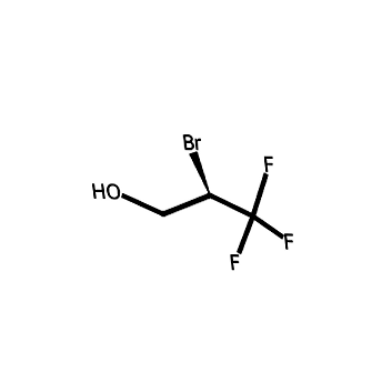 OC[C@@H](Br)C(F)(F)F